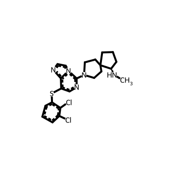 CN[C@@H]1CCCC12CCN(c1ncc(Sc3cccc(Cl)c3Cl)c3nccn13)CC2